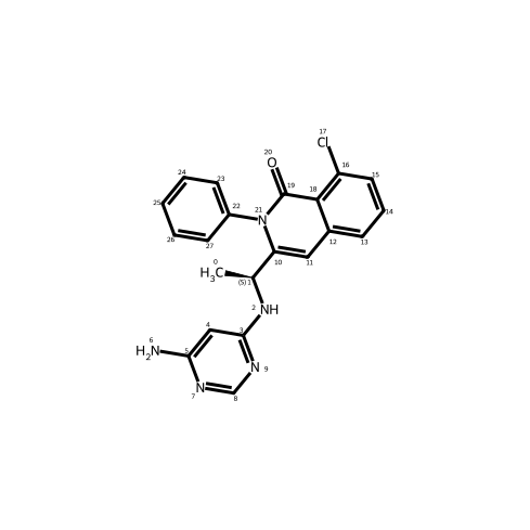 C[C@H](Nc1cc(N)ncn1)c1cc2cccc(Cl)c2c(=O)n1-c1ccccc1